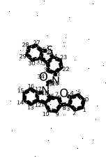 c1ccc2c(c1)oc1c2ccc2c3ccccc3n(-c3nc4ccc5sc6ccccc6c5c4o3)c21